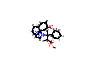 COC(=O)C(C)C(C)(c1ccccc1Oc1ccc2ccccc2c1)n1ccnc1